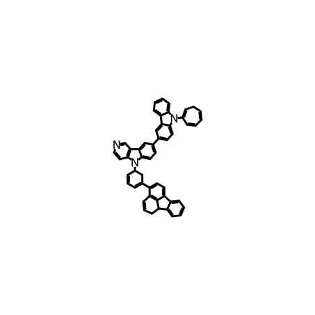 C1=CCC=C(n2c3ccccc3c3cc(-c4ccc5c(c4)c4cnccc4n5C4C=CC=C(c5ccc6c7c5C=CCC7c5ccccc5-6)C4)ccc32)C=C1